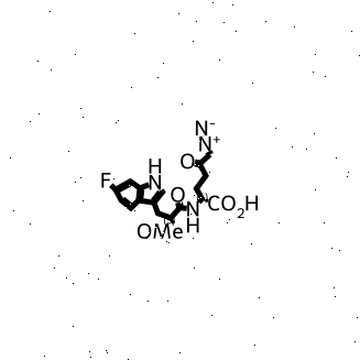 CO[C@@H](Cc1c[nH]c2cc(F)ccc12)C(=O)N[C@@H](CCC(=O)C=[N+]=[N-])C(=O)O